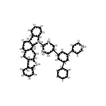 c1ccc(-c2cc(-c3ccncc3)cc(-c3cnc(-n4c5ccccc5c5ccc6cc7c(cc6c54)sc4ccccc47)nc3)c2)cc1